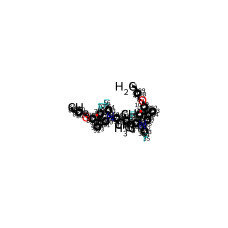 C=Cc1ccc(COC2=CC=C(C3(c4ccc(F)cc4)c4ccccc4-c4ccc(N(c5ccc(F)cc5)c5ccc(-c6cc(C)c(-c7ccc(N(c8ccc(F)cc8)c8ccc9c(c8)C(c8ccc(F)cc8)(c8ccc(OCc%10ccc(C=C)cc%10)cc8)c8ccccc8-9)cc7C)cc6C)c(C)c5)cc43)CC2)cc1